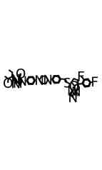 CCC(C(C)O)n1ncn(-c2ccc(N3CCN(c4ccc(CSC5CCC(Cn6cncn6)(c6ccc(F)cc6F)O5)cc4)CC3)cc2)c1=O